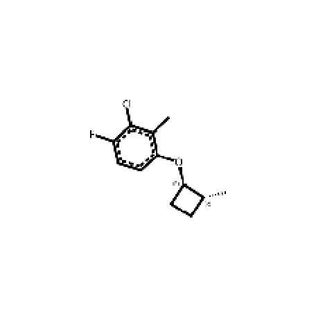 Cc1c(O[C@@H]2CC[C@H]2C)ccc(F)c1Cl